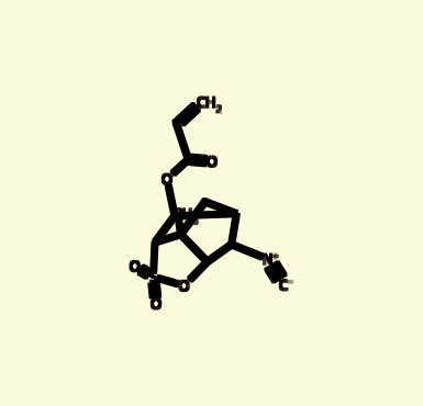 [C-]#[N+]C1C2CC3(C)C1OS(=O)(=O)C3C2OC(=O)C=C